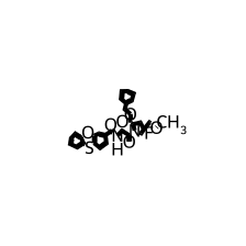 COC[C@@]1(F)C[C@@H](C(=O)OCc2ccccc2)N(C(=O)CNC(=O)c2ccc3c(c2)Oc2ccccc2S3)C1